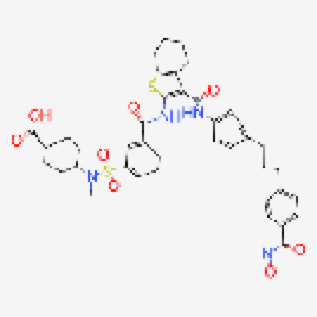 CN([C@H]1CC[C@H](C(=O)O)CC1)S(=O)(=O)c1cccc(C(=O)Nc2sc3c(c2C(=O)Nc2ccc(CCCc4ccc(C(=O)N=O)cc4)cc2)CCCC3)c1